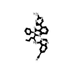 CCCC(Nc1ncnc2ccc(C#N)cc12)c1nc2cccc(-c3cnc(N)nc3)c2c(=O)n1-c1ccccc1